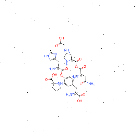 NC(=O)C[C@H](N)C(=O)OC(=O)[C@@H]1CCCN1.NCC(=O)O.N[C@@H](Cc1ccc(OC(=O)[C@@H](N)Cc2c[nH]cn2)cc1)C(=O)O.O=C(O)[C@@H]1CCCN1